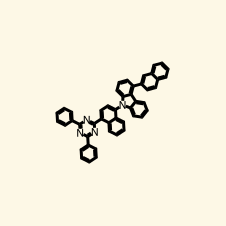 c1ccc(-c2nc(-c3ccccc3)nc(-c3ccc(-n4c5ccccc5c5c(-c6ccc7ccccc7c6)cccc54)c4ccccc34)n2)cc1